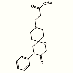 COC(=O)CCN1CCC2(CC1)CN(c1ccccc1)C(=O)CO2